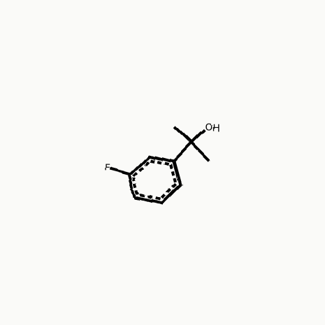 CC(C)(O)c1cccc(F)c1